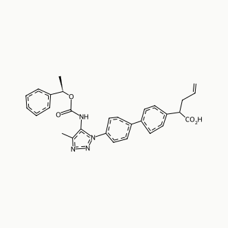 C=CCC(C(=O)O)c1ccc(-c2ccc(-n3nnc(C)c3NC(=O)O[C@H](C)c3ccccc3)cc2)cc1